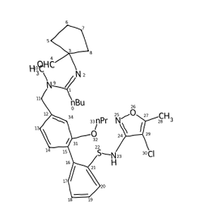 CCCC/C(=N/C1(C=O)CCCC1)N(C)Cc1ccc(-c2ccccc2SNc2noc(C)c2Cl)c(OCCC)c1